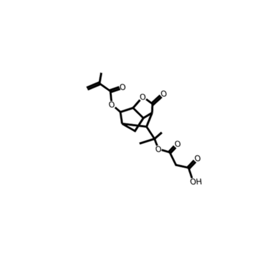 C=C(C)C(=O)OC1C2CC3C1OC(=O)C3C2C(C)(C)OC(=O)CC(=O)O